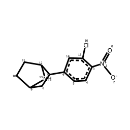 O=[N+]([O-])c1ccc(C2CC3CCC2N3)cc1Cl